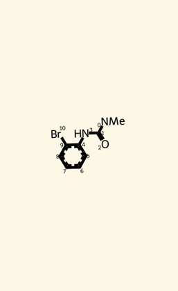 CNC(=O)Nc1ccccc1Br